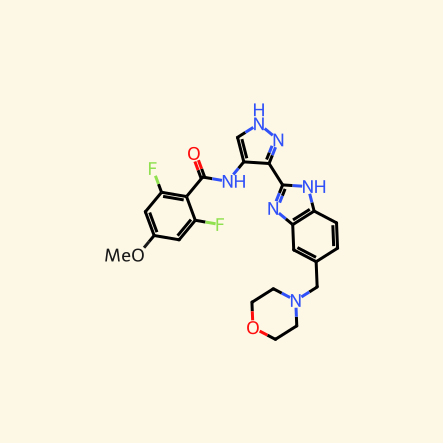 COc1cc(F)c(C(=O)Nc2c[nH]nc2-c2nc3cc(CN4CCOCC4)ccc3[nH]2)c(F)c1